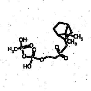 CC1(C)C2CCC1C(CS(=O)(=O)CCOP(=O)(O)OP(C)(=O)O)C2